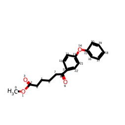 COC(=O)CCCCC(=O)c1ccc(Oc2ccccc2)cc1